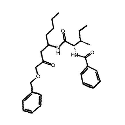 CCCCC(CC(=O)COCc1ccccc1)NC(=O)[C@@H](NC(=O)c1ccccc1)C(C)CC